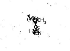 C[C@@H](Oc1ccc(C(=O)C2CC2)nc1)c1cc(-c2ccc(C(=O)NC3(C#N)CC3)c(F)c2)ns1